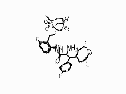 CC1CC[C@@H]2CN([C@@H](CCc3c(F)cccc3NC(=O)C(N)C(c3ccc(F)cc3)C3C[C@@H](C)O[C@@H](C)C3)CN2)S1(=O)=O